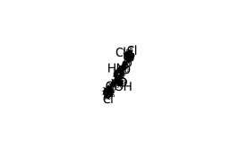 O=C(COc1ccc(Cl)c(Cl)c1)NC1CCN(C(CCOc2ccc(Cl)cc2)C(=O)O)CC1